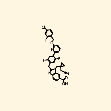 N#CCC1(Cn2c(Cc3cc(F)c(-c4cccc(OCc5ccc(Cl)cc5F)n4)cc3F)nc3ccc(C(=O)O)cc32)CC1